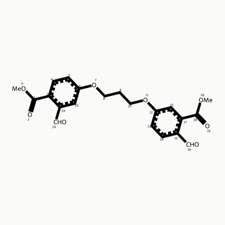 COC(=O)c1ccc(OCCCOc2ccc(C=O)c(C(=O)OC)c2)cc1C=O